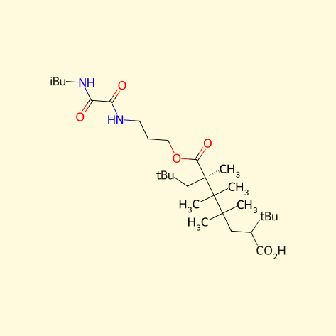 CCC(C)NC(=O)C(=O)NCCCOC(=O)[C@](C)(CC(C)(C)C)C(C)(C)C(C)(C)CC(C(=O)O)C(C)(C)C